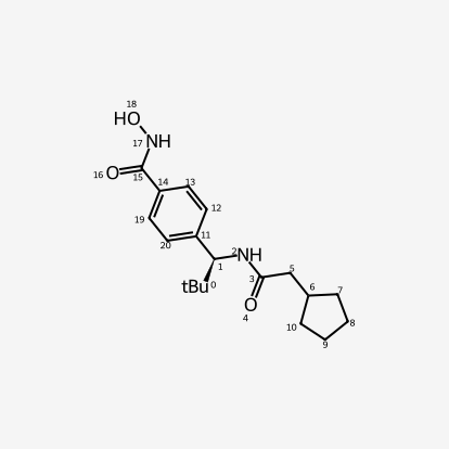 CC(C)(C)[C@H](NC(=O)CC1CCCC1)c1ccc(C(=O)NO)cc1